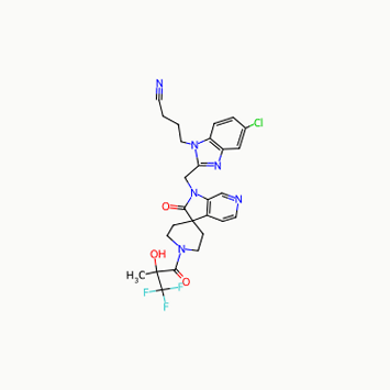 CC(O)(C(=O)N1CCC2(CC1)C(=O)N(Cc1nc3cc(Cl)ccc3n1CCCC#N)c1cnccc12)C(F)(F)F